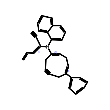 C#C/C(=C\C=C)N(/C1=C/C/C=C(/c2ccccc2)CC#CC1)c1cccc2ccccc12